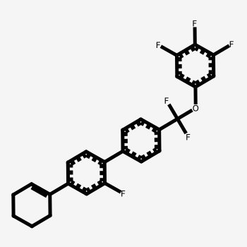 Fc1cc(C2=CCCCC2)ccc1-c1ccc(C(F)(F)Oc2cc(F)c(F)c(F)c2)cc1